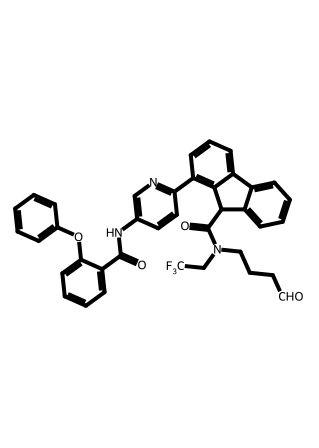 O=CCCCN(CC(F)(F)F)C(=O)C1c2ccccc2-c2cccc(-c3ccc(NC(=O)c4ccccc4Oc4ccccc4)cn3)c21